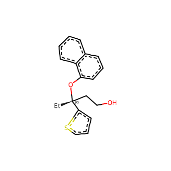 CC[C@](CCO)(Oc1cccc2ccccc12)c1cccs1